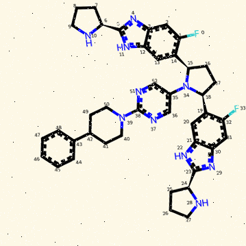 Fc1cc2nc([C@@H]3CCCN3)[nH]c2cc1[C@H]1CC[C@@H](c2cc3[nH]c([C@@H]4CCCN4)nc3cc2F)N1c1cnc(N2CCC(c3ccccc3)CC2)nc1